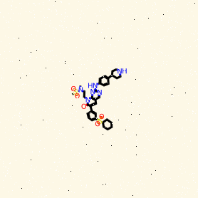 CN(CCn1c(=O)c(-c2cccc(S(=O)(=O)C3CCCCC3)c2)cc2cnc(Nc3ccc(C4CCNCC4)cc3)nc21)S(C)(=O)=O